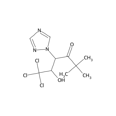 CC(C)(C)C(=O)C(C(O)C(Cl)(Cl)Cl)n1cncn1